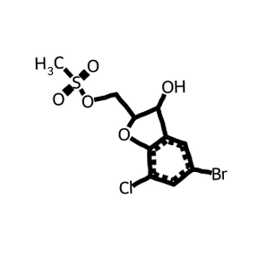 CS(=O)(=O)OCC1Oc2c(Cl)cc(Br)cc2C1O